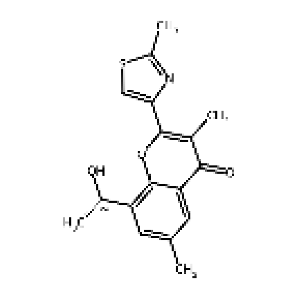 Cc1cc([C@H](C)O)c2oc(-c3csc(C)n3)c(C)c(=O)c2c1